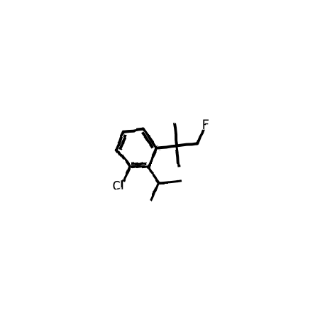 CC(C)c1c(Cl)cccc1C(C)(C)CF